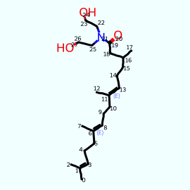 CC(C)=CCC/C(C)=C/CC/C(C)=C/CCC(C)CC(=O)N(CCO)CCO